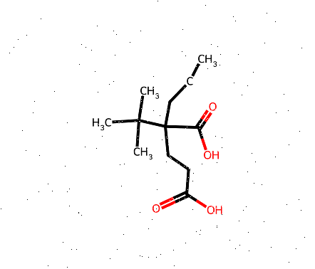 CCCC(CCC(=O)O)(C(=O)O)C(C)(C)C